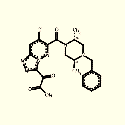 C[C@@H]1CN(Cc2ccccc2)[C@@H](C)CN1C(=O)c1nn2c(C(=O)C(=O)O)nnc2cc1Cl